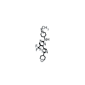 CSN1CCC(Nc2ncc(C(F)(F)F)c(-c3cnc(C4CCOCC4)s3)n2)CC1